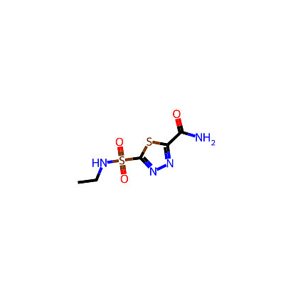 CCNS(=O)(=O)c1nnc(C(N)=O)s1